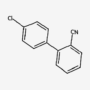 N#Cc1ccccc1-c1ccc(Cl)cc1